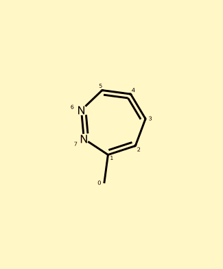 CC1=CC=C=CN=N1